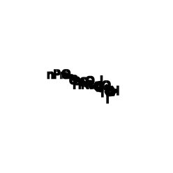 CCCOCCOCCONC(=O)Cc1cc(I)c(Oc2cc(I)cc(I)c2)c(I)c1